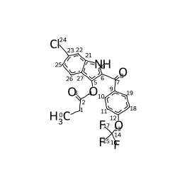 CCC(=O)Oc1c(C(=O)c2ccc(OC(F)(F)F)cc2)[nH]c2cc(Cl)ccc12